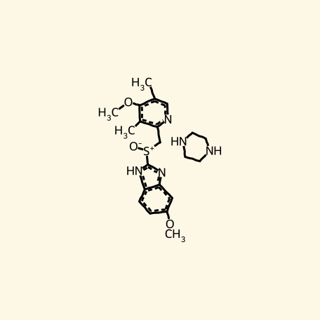 C1CNCCN1.COc1ccc2[nH]c([S+]([O-])Cc3ncc(C)c(OC)c3C)nc2c1